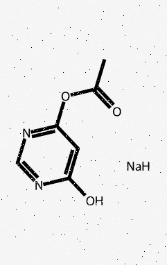 CC(=O)Oc1cc(O)ncn1.[NaH]